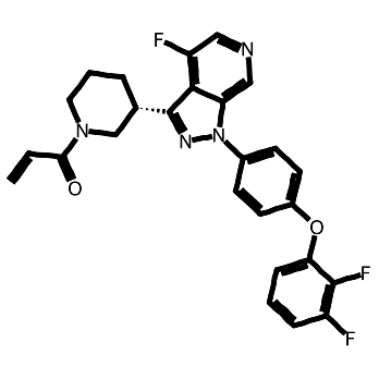 C=CC(=O)N1CCC[C@H](c2nn(-c3ccc(Oc4cccc(F)c4F)cc3)c3cncc(F)c23)C1